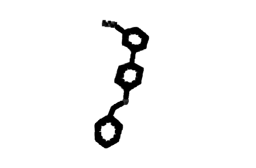 CC(=O)Nc1[c]ccc(-c2ccc(OCc3ccccc3)cc2)c1